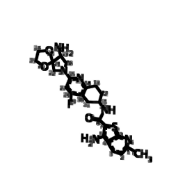 Cc1ccc2c(N)c(C(=O)NC3CCc4nc(N5CC(N)C6(C5)OCCO6)cc(F)c4C3)sc2n1